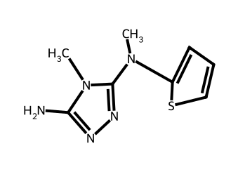 CN(c1cccs1)c1nnc(N)n1C